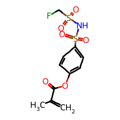 C=C(C)C(=O)Oc1ccc(S(=O)(=O)NS(=O)(=O)CF)cc1